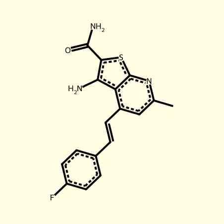 Cc1cc(C=Cc2ccc(F)cc2)c2c(N)c(C(N)=O)sc2n1